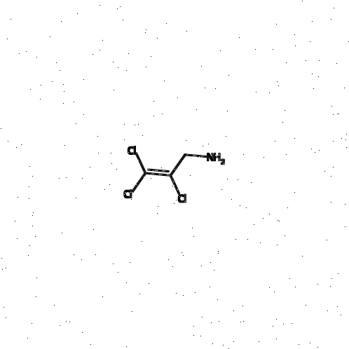 NCC(Cl)=C(Cl)Cl